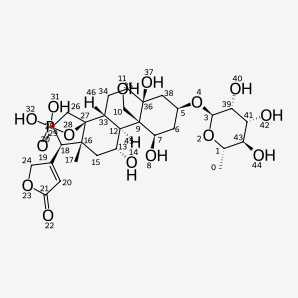 C[C@@H]1O[C@@H](O[C@H]2C[C@@H](O)[C@]3(CO)[C@H]4[C@H](O)C[C@]5(C)[C@@H](C6=CC(=O)OC6)CC[C@]5(OP(=O)(O)O)[C@@H]4CC[C@]3(O)C2)[C@H](O)[C@H](O)[C@H]1O